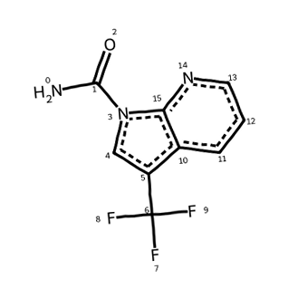 NC(=O)n1cc(C(F)(F)F)c2cccnc21